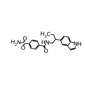 CCC(CNC(=O)c1ccc(S(N)(=O)=O)cc1)c1ccc2[nH]ccc2c1